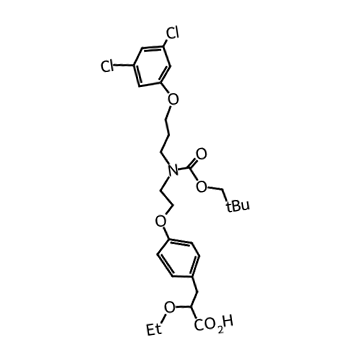 CCOC(Cc1ccc(OCCN(CCCOc2cc(Cl)cc(Cl)c2)C(=O)OCC(C)(C)C)cc1)C(=O)O